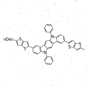 CCCCCCCCCCc1cc2sc(-c3ccc4c(c3)c3cc5c(cc3n4-c3ccccc3)c3cc(-c4cc6sc(C)cc6s4)ccc3n5-c3ccccc3)cc2s1